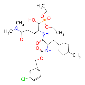 CCOP(=O)(OCC)C(O)[C@H](CCC(=O)N(C)C)NC(=O)C(CC1CCC(C)CC1)NC(=O)OCc1cccc(Cl)c1